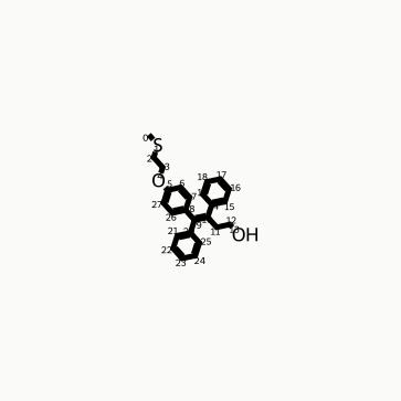 CSCCOc1ccc(C(=C(CCO)c2ccccc2)c2ccccc2)cc1